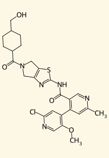 COc1cnc(Cl)cc1-c1cc(C)ncc1C(=O)Nc1nc2c(s1)CN(C(=O)C1CCC(CO)CC1)C2